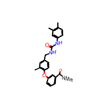 CNC(=O)c1cccc(Oc2ccc(CNC(=O)Nc3ccc(C)c(C)c3)cc2C)c1